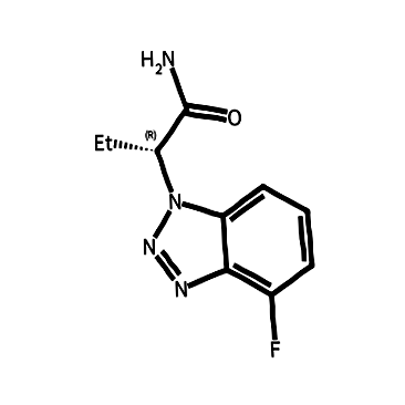 CC[C@H](C(N)=O)n1nnc2c(F)cccc21